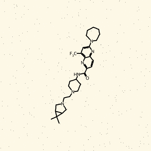 CC1(C)C2CN(CCN3CCC(NC(=O)c4ccc5nc(N6CCCCCC6)cc(C(F)(F)F)c5n4)CC3)CC21